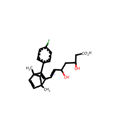 CC12C=CC(C)(C1)C(c1ccc(F)cc1)=C2/C=C/C(O)CC(O)CC(=O)O